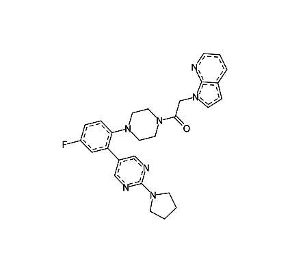 O=C(Cn1ccc2cccnc21)N1CCN(c2ccc(F)cc2-c2cnc(N3CCCC3)nc2)CC1